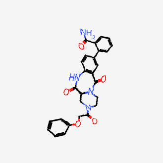 NC(=O)c1ccccc1-c1ccc2c(c1)C(=O)N1CCN(C(=O)COc3ccccc3)CC1C(=O)N2